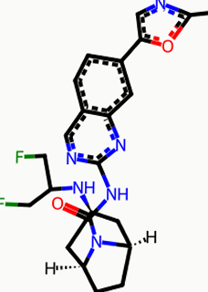 Cc1ncc(-c2ccc3cnc(NC(=O)N4[C@@H]5CC[C@H]4C[C@@H](NC(CF)CF)C5)nc3c2)o1